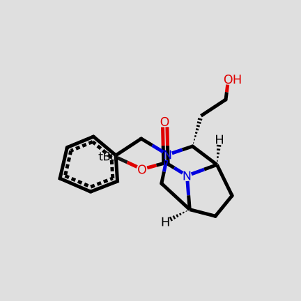 CC(C)(C)OC(=O)N1[C@H]2CC[C@@H]1[C@@H](CCO)N(Cc1ccccc1)C2